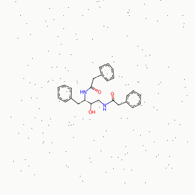 O=C(Cc1ccccc1)NCC(O)C(Cc1ccccc1)NC(=O)Cc1ccccc1